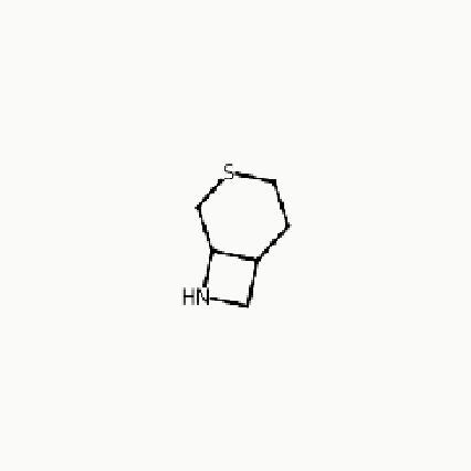 C1CC2CNC2CS1